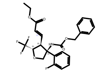 CCOC(=O)/C=C/[C@@H]1[C@@H](C(F)(F)F)OC[C@@]1(NC(=O)OCc1ccccc1)c1ccccc1F